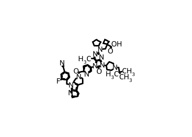 Cc1nc(N(CC2(C(=O)O)CCC2)C2CCCC2)nc2c1n(-c1ccc(C(=O)N3CCc4c(n(Cc5ccc(C#N)cc5F)c5ncccc45)C3)nc1)c(=O)n2C1CCN(CC(C)(C)C)CC1